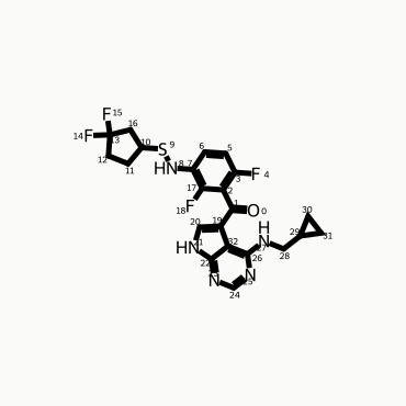 O=C(c1c(F)ccc(NSC2CCC(F)(F)C2)c1F)c1c[nH]c2ncnc(NCC3CC3)c12